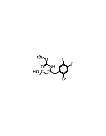 CC(C)(C)OC(=O)N[C@@H](CC(=O)O)Cc1cc(F)c(F)cc1Br